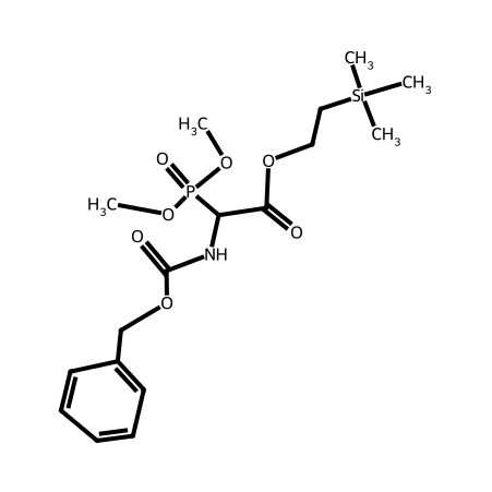 COP(=O)(OC)C(NC(=O)OCc1ccccc1)C(=O)OCC[Si](C)(C)C